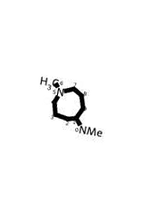 CNC1CCCN(C)CCC1